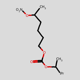 CC(CCCCOC(=O)OC(C)C(C)C)O[N+](=O)[O-]